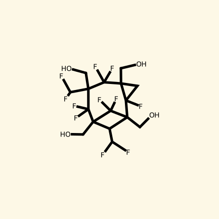 OCC12CC1(F)C1(CO)C(C(F)F)C(CO)(C(F)(F)C(CO)(C(F)F)C2(F)F)C1(F)F